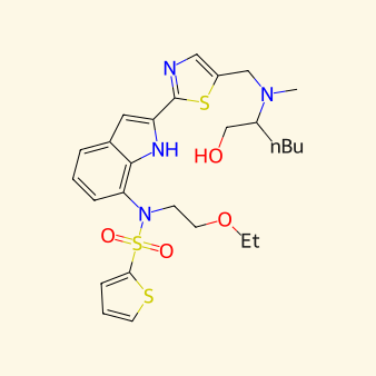 CCCCC(CO)N(C)Cc1cnc(-c2cc3cccc(N(CCOCC)S(=O)(=O)c4cccs4)c3[nH]2)s1